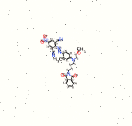 COCCN(CCCCN1C(=O)c2ccccc2C1=O)c1ccc(/N=N/c2c(C#N)cc([N+](=O)[O-])cc2C#N)c(C)c1